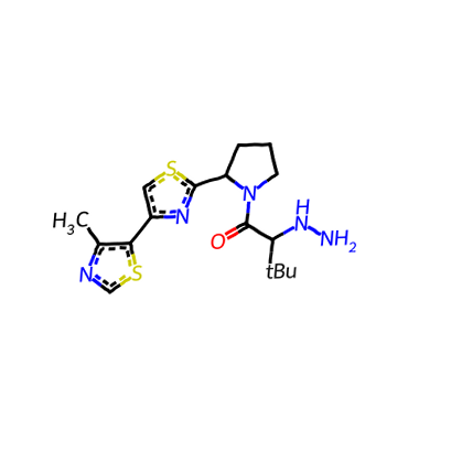 Cc1ncsc1-c1csc(C2CCCN2C(=O)C(NN)C(C)(C)C)n1